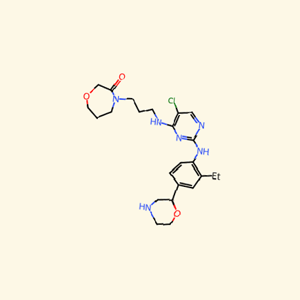 CCc1cc(C2CNCCO2)ccc1Nc1ncc(Cl)c(NCCCN2CCCOCC2=O)n1